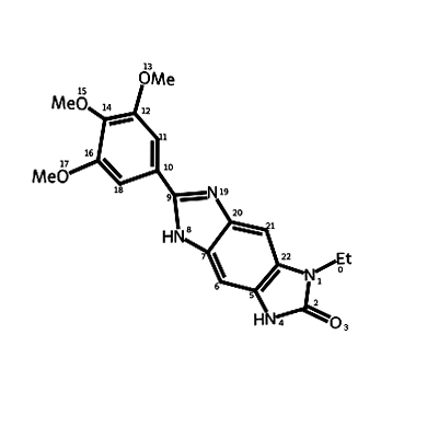 CCn1c(=O)[nH]c2cc3[nH]c(-c4cc(OC)c(OC)c(OC)c4)nc3cc21